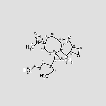 CCCCC(CC)C1C(C)C12CCC(N(C)C)CCCCC2CC1CCC1C